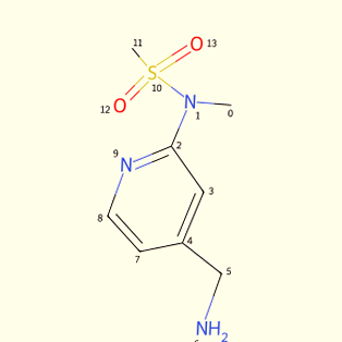 CN(c1cc(CN)ccn1)S(C)(=O)=O